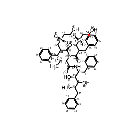 CC(C)[C@@H](C(=O)N[C@@H](Cc1ccccc1)[C@H](O)[C@@H](O)[C@@H](N)Cc1ccccc1)N(C(=O)C(Cc1ccccc1)CS(=O)(=O)CCO)C(=O)C(Cc1ccccc1)CS(=O)(=O)CCO